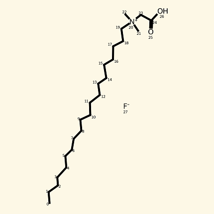 CCCCCCCCCCCCCCCCCCCC[N+](C)(C)CC(=O)O.[F-]